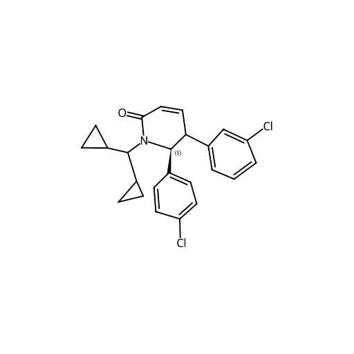 O=C1C=CC(c2cccc(Cl)c2)[C@@H](c2ccc(Cl)cc2)N1C(C1CC1)C1CC1